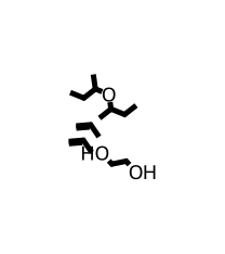 C=CC.C=CC.CCC(C)OC(C)CC.OCCO